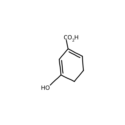 O=C(O)C1=CCCC(O)=C1